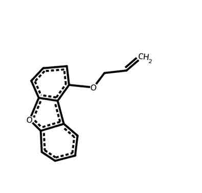 C=CCOc1cccc2oc3ccccc3c12